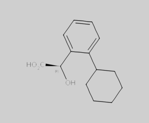 O=C(O)[C@H](O)c1ccccc1C1CCCCC1